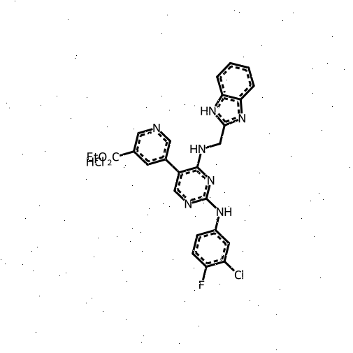 CCOC(=O)c1cncc(-c2cnc(Nc3ccc(F)c(Cl)c3)nc2NCc2nc3ccccc3[nH]2)c1.Cl